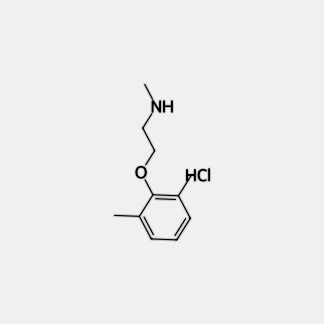 CNCCOc1c(C)cccc1C.Cl